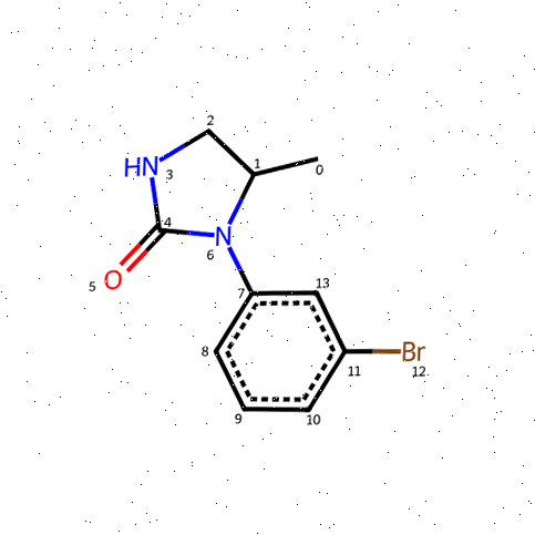 CC1CNC(=O)N1c1cccc(Br)c1